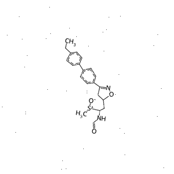 CCc1ccc(-c2ccc(C3=NOC(CC(NC=O)[S+](C)[O-])C3)cc2)cc1